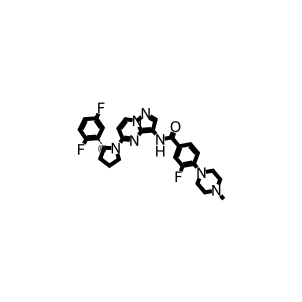 CN1CCN(c2ccc(C(=O)Nc3cnn4ccc(N5CCC[C@@H]5c5cc(F)ccc5F)nc34)cc2F)CC1